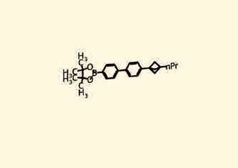 CCCC12CC(c3ccc(-c4ccc(B5OC(C)(C)C(C)(C)O5)cc4)cc3)(C1)C2